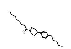 CCCCCCCC(=O)C1CCC(c2ccc(CCCCC)cc2)CC1